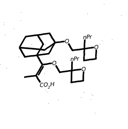 CCCC1(COC(=C(C)C(=O)O)C23CC4CC(CC(OCC5(CCC)CCO5)(C4)C2)C3)CCO1